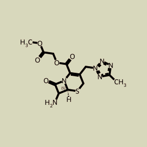 COC(=O)COC(=O)C1=C(Cn2nnc(C)n2)CS[C@H]2C(N)C(=O)N12